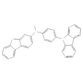 CN(c1ccc(-n2c3ccccc3c3ccccc32)cc1)c1ccc2c(c1)sc1ccccc12